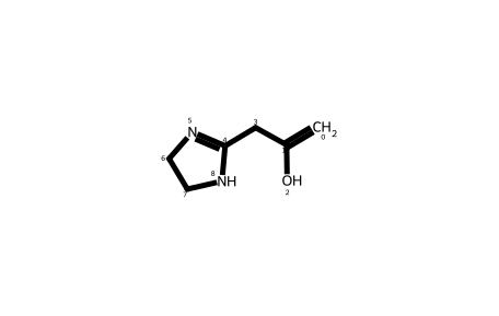 C=C(O)CC1=NCCN1